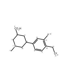 CN1CC(C(=O)O)CC(c2ccc(CC(F)(F)F)c(F)c2)C1